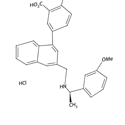 COc1cccc([C@@H](C)NCc2cc(-c3ccc(C(C)C)c(C(=O)O)c3)c3ccccc3c2)c1.Cl